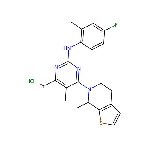 CCc1nc(Nc2ccc(F)cc2C)nc(N2CCc3ccsc3C2C)c1C.Cl